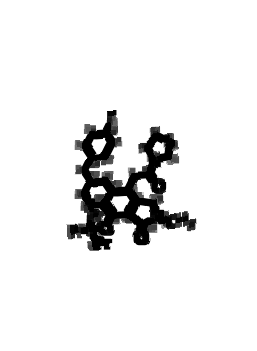 CC(C)[Si](Oc1c2c(c(CC(=O)N3CCSC3)c3cc(Cc4ccc(F)cc4)cnc13)CN(C)C2=O)(C(C)C)C(C)C